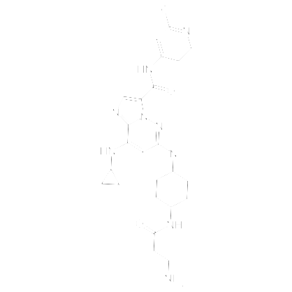 C[C@@H](CN)C(=O)NC1CCC(Nc2cc(NC3CC3)c3ncc(C(=O)Nc4ccnc(Cl)c4)n3n2)CC1